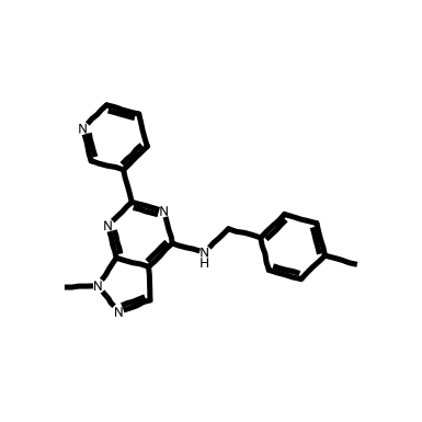 Cc1ccc(CNc2nc(-c3cccnc3)nc3c2cnn3C)cc1